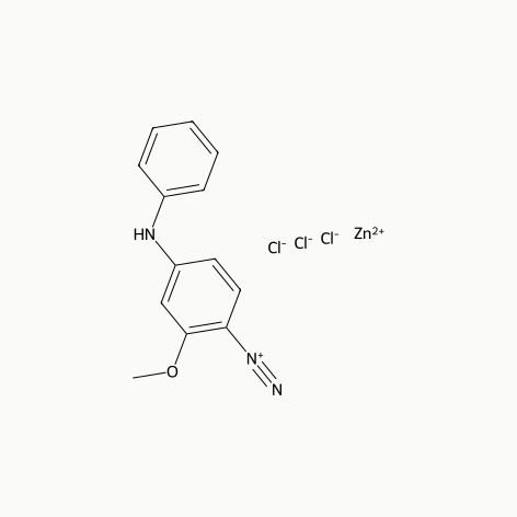 COc1cc(Nc2ccccc2)ccc1[N+]#N.[Cl-].[Cl-].[Cl-].[Zn+2]